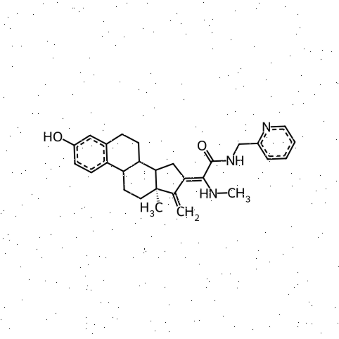 C=C1/C(=C(\NC)C(=O)NCc2ccccn2)CC2C3CCc4cc(O)ccc4C3CC[C@]12C